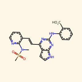 CN(c1ncccc1/C=C/c1nc(Nc2ccccc2C(=O)O)nc2[nH]ccc12)S(C)(=O)=O